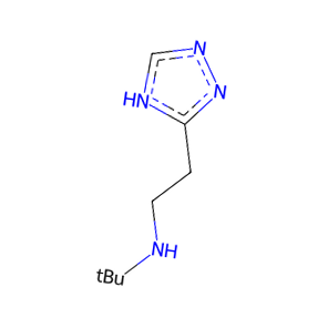 CC(C)(C)NCCc1nnc[nH]1